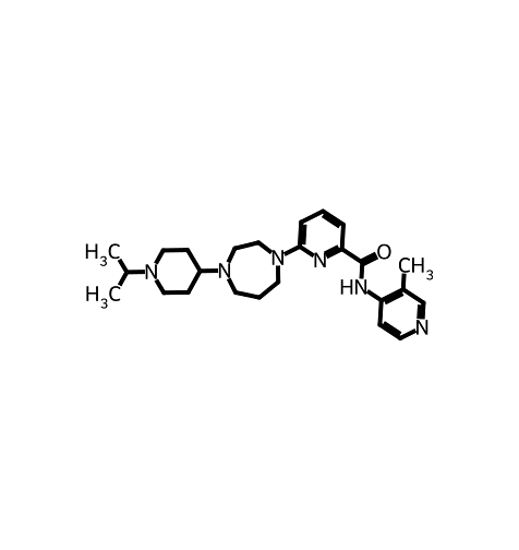 Cc1cnccc1NC(=O)c1cccc(N2CCCN(C3CCN(C(C)C)CC3)CC2)n1